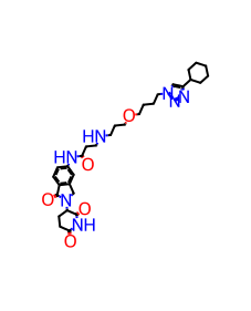 O=C1CCC(N2Cc3cc(NC(=O)CCNCCCOCCCCn4cc(C5CCCCC5)nn4)ccc3C2=O)C(=O)N1